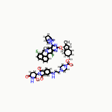 C#Cc1c(F)ccc2cccc(-c3ncc4c(N5CC6CCC(C5)N6)nc(OC[C@@]56CC[C@@H](COC(=O)N7CCN(CCNc8ccc9c(c8)C(=O)N(C8CCC(=O)NC8=O)C9=O)CC7)CCC5CC(=C)C6)nc4c3F)c12